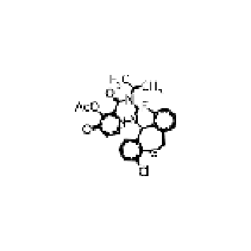 CC(=O)Oc1c2n(ccc1=O)N([C@@H]1c3cccc(Cl)c3SCc3cccc(F)c31)CN([C@H](C)C(F)(F)F)C2=O